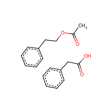 CC(=O)OCCc1ccccc1.O=C(O)Cc1ccccc1